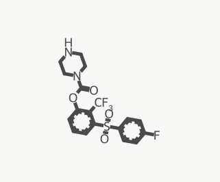 O=C(Oc1cccc(S(=O)(=O)c2ccc(F)cc2)c1C(F)(F)F)N1CCNCC1